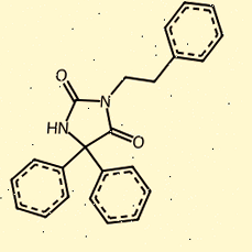 O=C1NC(c2ccccc2)(c2ccccc2)C(=O)N1CCc1ccccc1